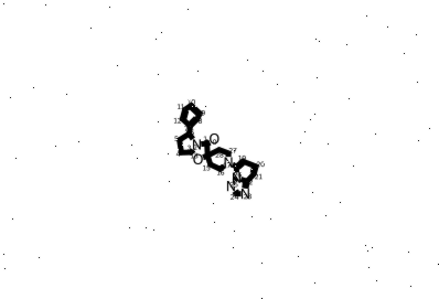 O=C1N2C(CCC2c2ccccc2)OC12CCN(c1cccc3ncnn13)CC2